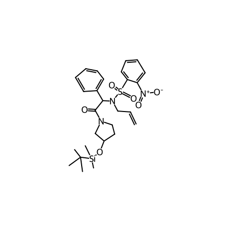 C=CCN(C(C(=O)N1CCC(O[Si](C)(C)C(C)(C)C)C1)c1ccccc1)S(=O)(=O)c1ccccc1[N+](=O)[O-]